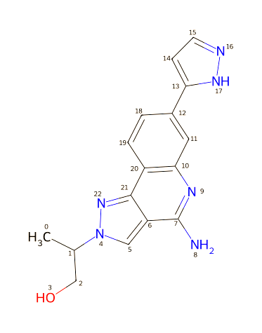 CC(CO)n1cc2c(N)nc3cc(-c4ccn[nH]4)ccc3c2n1